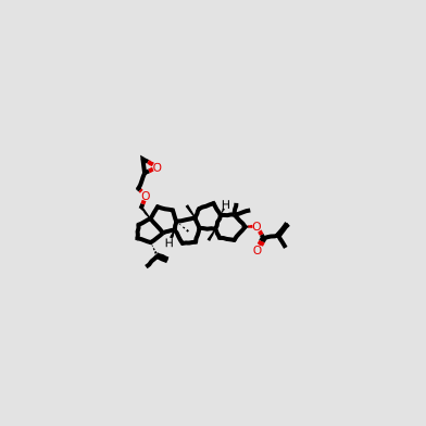 C=C(C)C(=O)O[C@H]1CC[C@]2(C)C3CC[C@@H]4C5[C@H](C(=C)C)CC[C@]5(COCC5CO5)CC[C@@]4(C)[C@]3(C)CC[C@H]2C1(C)C